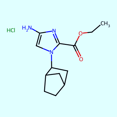 CCOC(=O)c1nc(N)cn1C1CC2CCC1C2.Cl